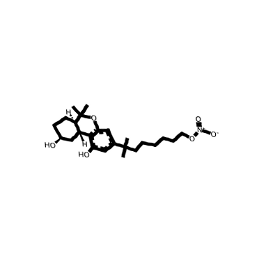 CC(C)(CCCCCCO[N+](=O)[O-])c1cc(O)c2c(c1)OC(C)(C)[C@@H]1CC[C@H](O)C[C@@H]21